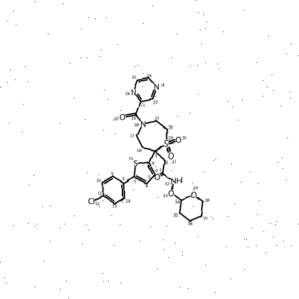 O=C(CC1(c2ccc(-c3ccc(Cl)cc3)s2)CCN(C(=O)c2cnccn2)CCS1(=O)=O)NOC1CCCCO1